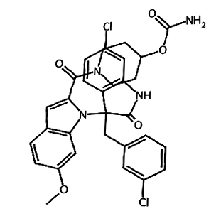 COc1ccc2cc(C(=O)N3CCC(OC(N)=O)CC3)n(C3(Cc4cccc(Cl)c4)C(=O)Nc4cc(Cl)ccc43)c2c1